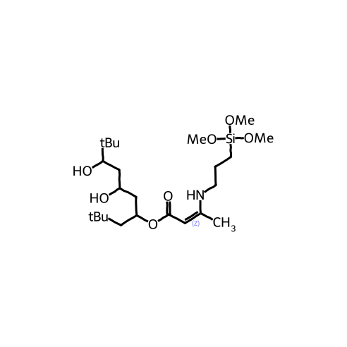 CO[Si](CCCN/C(C)=C\C(=O)OC(CC(O)CC(O)C(C)(C)C)CC(C)(C)C)(OC)OC